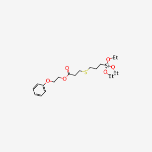 CCO[Si](CCCSCCC(=O)OCCOc1ccccc1)(OCC)OCC